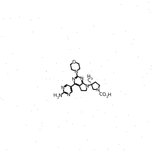 C[C@]1(N2CCc3c(-c4cnc(N)nc4)nc(N4CCOCC4)nc32)CCN(C(=O)O)C1